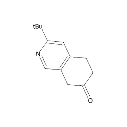 CC(C)(C)c1cc2c(cn1)CC(=O)CC2